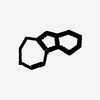 C1=Cn2c(cc3ccccc32)CCS1